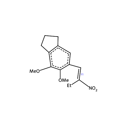 CC/C(=C\c1cc2c(c(OC)c1OC)CCC2)[N+](=O)[O-]